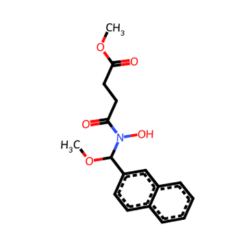 COC(=O)CCC(=O)N(O)C(OC)c1ccc2ccccc2c1